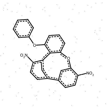 O=[N+]([O-])c1ccc2cc1oc1cccc(Oc3ccccc3)c1c1cc2ccc1[N+](=O)[O-]